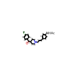 CC(=O)Nc1ccc(C=CCN2CCC(C(=O)c3ccc(F)cc3)CC2)cc1